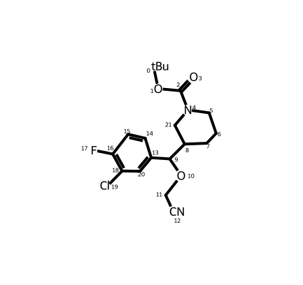 CC(C)(C)OC(=O)N1CCCC(C(OCC#N)c2ccc(F)c(Cl)c2)C1